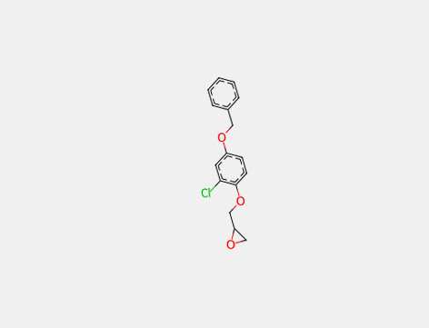 Clc1cc(OCc2ccccc2)ccc1OCC1CO1